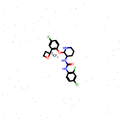 O=C(Nc1ccc(Cl)cc1F)NC1CCCNC1Oc1ccc(F)cc1[C@]1(C(F)(F)F)CCO1